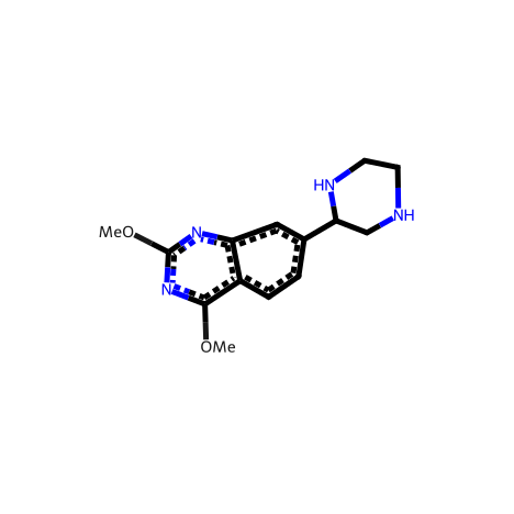 COc1nc(OC)c2ccc(C3CNCCN3)cc2n1